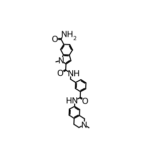 CN1CCc2ccc(NC(=O)c3cccc(CNC(=O)c4cc5ccc(C(N)=O)cc5n4C)c3)cc2C1